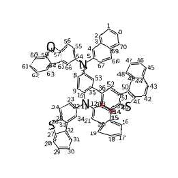 c1ccc2cc(N(c3ccc(N(c4ccc5ccccc5c4)c4ccc5sc6ccccc6c5c4)c(-c4ccc5sc6ccc7ccccc7c6c5c4)c3)c3ccc4oc5ccccc5c4c3)ccc2c1